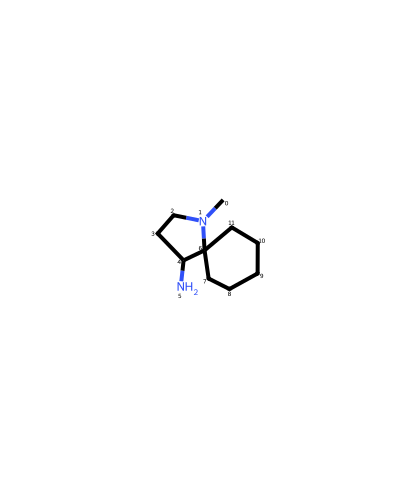 CN1CCC(N)C12CCCCC2